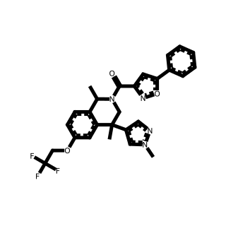 CC1c2ccc(OCC(F)(F)F)cc2C(C)(c2cnn(C)c2)CN1C(=O)c1cc(-c2ccccc2)on1